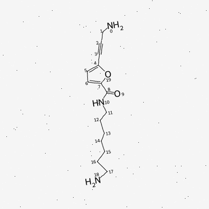 NCC#Cc1ccc(C(=O)NCCCCCCCN)o1